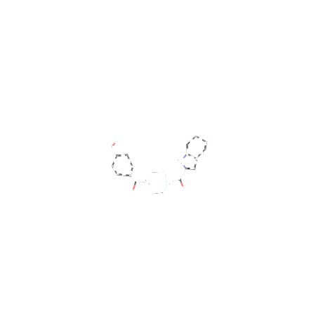 O=Cc1ccc(C(=O)N2CCN(C(=O)c3cc4cc(Cl)ccc4[nH]3)CC2)cc1